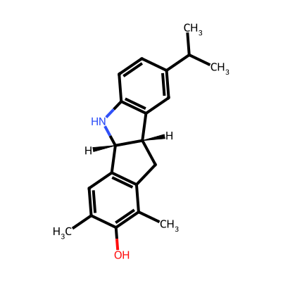 Cc1cc2c(c(C)c1O)C[C@H]1c3cc(C(C)C)ccc3N[C@@H]21